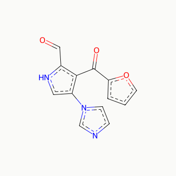 O=Cc1[nH]cc(-n2ccnc2)c1C(=O)c1ccco1